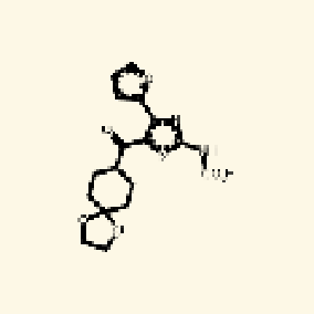 O=C(O)Nc1nc(-c2ccco2)c(C(=O)C2CCC3(CC2)OCCO3)s1